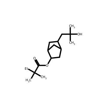 CCC(C)(C)C(=O)OC1CC2CC1CC2CC(C)(C)O